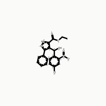 CCOC(=O)c1[nH]nc(-c2ccccc2)c1C(O)c1ccc(Cl)cc1[N+](=O)[O-]